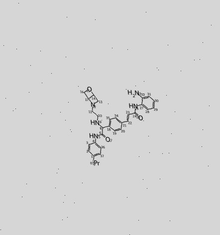 CC(C)c1ccc(NC(=O)C(NCCN2CC3OCC32)c2ccc(/C=C/C(=O)Nc3ccccc3N)cc2)cc1